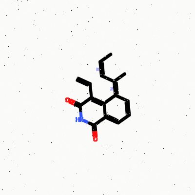 C=CC1=c2c(ccc/c2=C(C)/C=C\C)C(=O)NC1=O